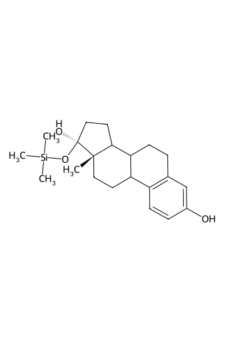 C[C@]12CCC3c4ccc(O)cc4CCC3C1CC[C@]2(O)O[Si](C)(C)C